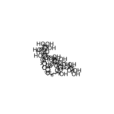 C[C@@H]1[C@@H](O)[C@H](OC[C@H]2O[C@@H](O[C@H](CC[C@@H](C)C3CC[C@@]4(C)C5CC=C6C(CC[C@H](O[C@@H]7O[C@H](CO)[C@@H](O[C@@H]8O[C@H](CO)[C@@H](O)[C@H](O)[C@H]8O)[C@H](O)[C@H]7O)C6(C)C)[C@]5(C)C(=O)C[C@]34C)C(C)(C)O)[C@H](O[C@H]3O[C@@H](CO)[C@H](O)[C@@H](O)[C@@H]3O)[C@@H](O)[C@@H]2O)O[C@H](CO)[C@H]1O